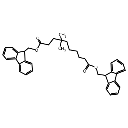 CC(C)(CCCCCC(=O)OCC1c2ccccc2-c2ccccc21)CCC(=O)OCC1c2ccccc2-c2ccccc21